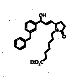 CCOC(=O)CCCCCCN1C(=O)CC[C@@H]1/C=C/C(O)c1cccc(Cc2ccccc2)c1